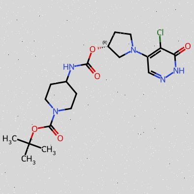 CC(C)(C)OC(=O)N1CCC(NC(=O)O[C@@H]2CCN(c3cn[nH]c(=O)c3Cl)C2)CC1